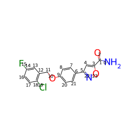 NC(=O)c1cc(-c2ccc(OCc3cc(F)ccc3Cl)cc2)no1